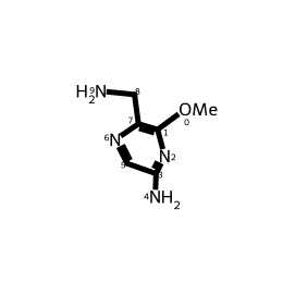 COc1nc(N)cnc1CN